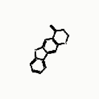 C=C1CCSc2cc3c(cc21)sc1ccccc13